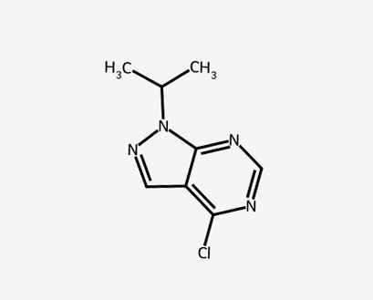 CC(C)n1ncc2c(Cl)ncnc21